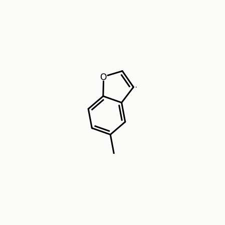 Cc1ccc2oc[c]c2c1